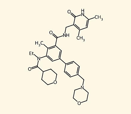 CCN(C(=O)C1CCOCC1)c1cc(-c2ccc(CN3CCOCC3)cc2)cc(C(=O)NCc2c(C)cc(C)[nH]c2=O)c1C